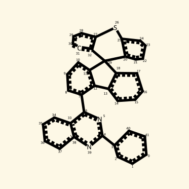 c1ccc(-c2nc(-c3cccc4c3-c3ccccc3C43c4ccccc4Sc4ccccc43)c3ccccc3n2)cc1